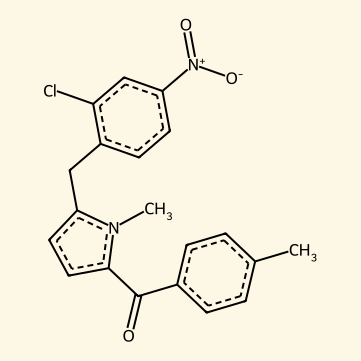 Cc1ccc(C(=O)c2ccc(Cc3ccc([N+](=O)[O-])cc3Cl)n2C)cc1